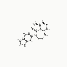 Nc1ncnc2c1C(=O)N(c1ccc3sccc3c1)CCO2